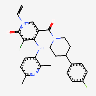 C=Cn1cc(C(=O)N2CCC(c3ccc(F)cc3)CC2)c(Nc2ccc(C)nc2C)c(Cl)c1=O